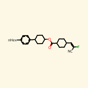 CCCCCCc1ccc(C2CCC(OC(=O)C3CCC(/C=C(/F)C#N)CC3)CC2)cc1